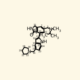 CC(C)N(C)Cc1cc2c(c(-c3cc4cc(CN5CCCCC5)ccc4[nH]3)c1)C(=O)NC2